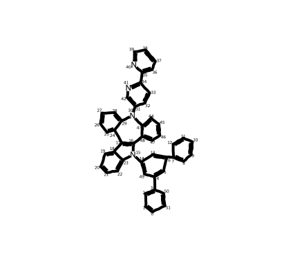 c1ccc(-c2cc(-c3ccccc3)cc(-n3c4c(c5ccccc53)-c3ccccc3N(c3ccc(-c5ccccn5)nc3)c3ccccc3-4)c2)cc1